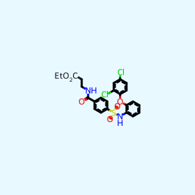 CCOC(=O)CCNC(=O)c1ccc(S(=O)(=O)Nc2ccccc2Oc2ccc(Cl)cc2Cl)cc1